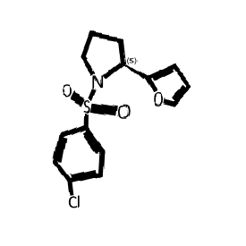 O=S(=O)(c1ccc(Cl)cc1)N1CCC[C@H]1c1ccco1